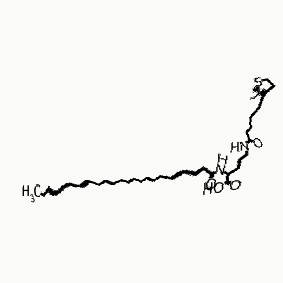 CCC=CCC=CCC=CCC=CCC=CCC=CCCC(=O)NC(CCCNC(=O)CCCCC1CCSS1)C(=O)O